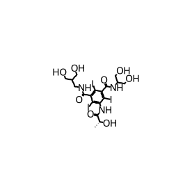 C[C@@H](O)C(=O)Nc1c(I)c(C(=O)NCC(CO)CO)c(I)c(C(=O)NC(CO)CO)c1I